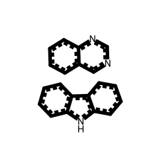 c1ccc2c(c1)[nH]c1ccccc12.c1ccc2ncncc2c1